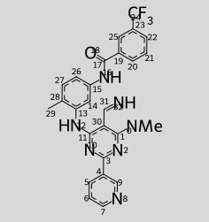 CNc1nc(-c2cccnc2)nc(Nc2cc(NC(=O)c3cccc(C(F)(F)F)c3)ccc2C)c1C=N